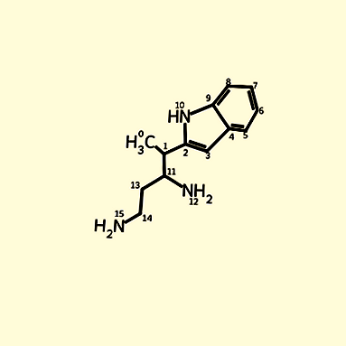 CC(c1cc2ccccc2[nH]1)C(N)CCN